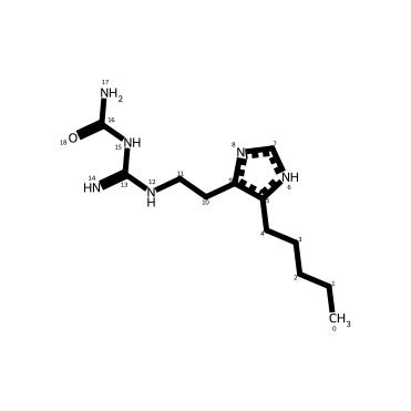 CCCCCc1[nH]cnc1CCNC(=N)NC(N)=O